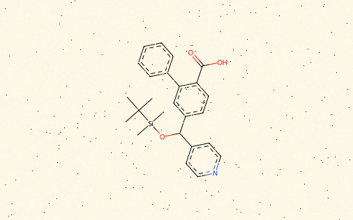 CC(C)(C)[Si](C)(C)OC(c1ccncc1)c1ccc(C(=O)O)c(-c2ccccc2)c1